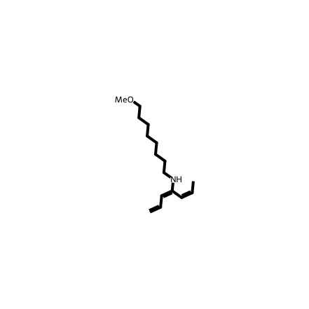 C=C/C=C(\C=C/C)NCCCCCCCCOC